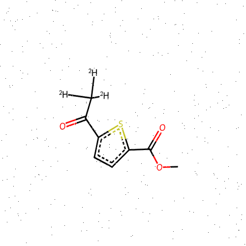 [2H]C([2H])([2H])C(=O)c1ccc(C(=O)OC)s1